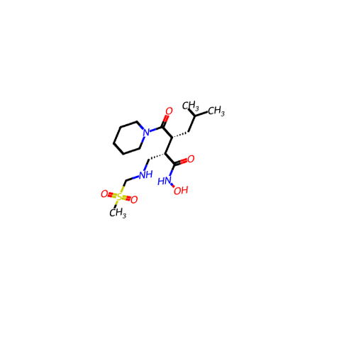 CC(C)C[C@@H](C(=O)N1CCCCC1)[C@@H](CNCS(C)(=O)=O)C(=O)NO